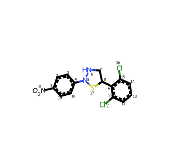 O=[N+]([O-])c1ccc(N2NCC(c3c(Cl)cccc3Cl)S2)cc1